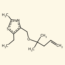 C=CCC(C)(C)OCc1nc(C)sc1CC